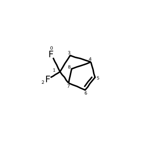 FC1(F)CC2C=CC1C2